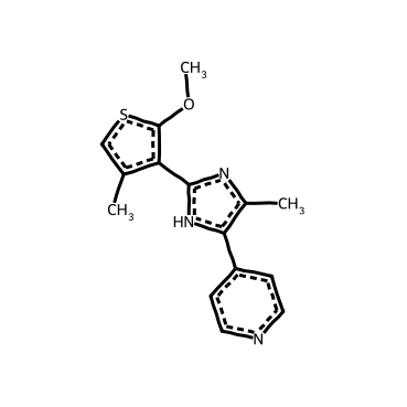 COc1scc(C)c1-c1nc(C)c(-c2ccncc2)[nH]1